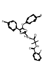 CC(C)(NC(=O)c1ccccc1F)C(=O)Nc1nc(-c2ccc(F)cc2)c(Oc2ccc(F)cc2)s1